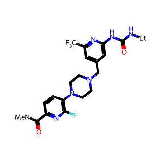 CCNC(=O)Nc1cc(CN2CCN(c3ccc(C(=O)NC)nc3F)CC2)cc(C(F)(F)F)n1